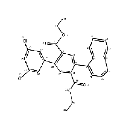 CCOC(=O)c1cc(-c2cccc3ccccc23)c(C(=O)OCC)cc1-c1cc(Cl)cc(Cl)c1